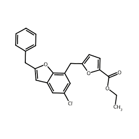 CCOC(=O)c1ccc(Cc2cc(Cl)cc3cc(Cc4ccccc4)oc23)o1